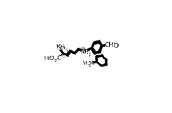 CC(C)c1ccc(C=O)cc1.NC1CCCCC1.NCCCC[C@H](N)C(=O)O